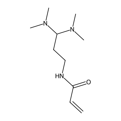 C=CC(=O)NCCC(N(C)C)N(C)C